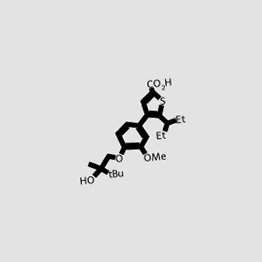 CCC(CC)c1sc(C(=O)O)cc1-c1ccc(OCC(C)(O)C(C)(C)C)c(OC)c1